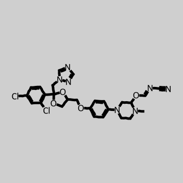 CN1CCN(c2ccc(OCC3COC(Cn4cncn4)(c4ccc(Cl)cc4Cl)O3)cc2)CC1OC=NC#N